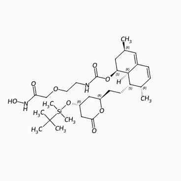 C[C@H]1C=C2C=C[C@H](C)[C@H](CC[C@@H]3C[C@@H](O[Si](C)(C)C(C)(C)C)CC(=O)O3)[C@H]2[C@@H](OC(=O)NCCOCC(=O)NO)C1